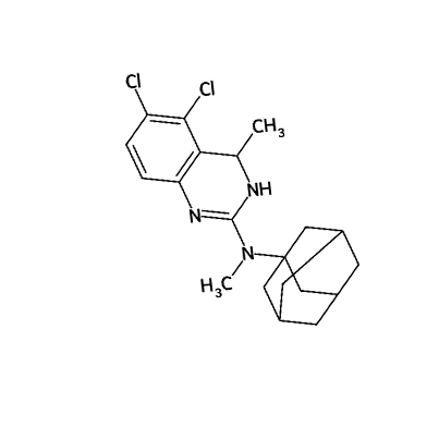 CC1NC(N(C)C23CC4CC(CC(C4)C2)C3)=Nc2ccc(Cl)c(Cl)c21